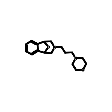 c1ccc2c(c1)C1CN(CCCN3CCOCC3)CC2O1